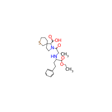 CCOC(=O)C(CCc1ccccc1)N[C@@H](C)C(=O)N1CCC2(CCCSC2)[C@H]1C(=O)O